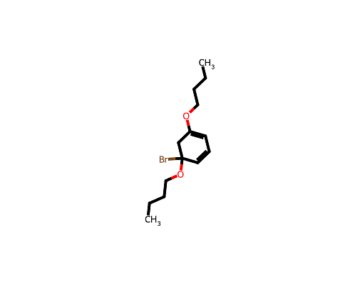 CCCCOC1=CC=CC(Br)(OCCCC)C1